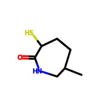 CC1CCC(S)C(=O)NC1